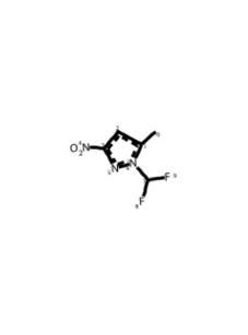 Cc1cc([N+](=O)[O-])nn1C(F)F